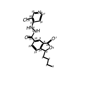 CCCCC1OC(=O)c2cc(C(=O)NNc3ccncc3Cl)ccc21